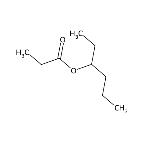 CCCC(CC)OC(=O)CC